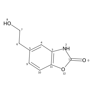 O=c1[nH]c2cc(CCO)ccc2o1